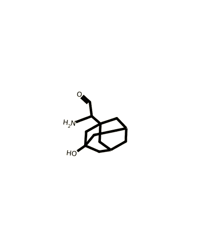 NC(C=O)C12CC3CC(CC(O)(C3)C1)C2